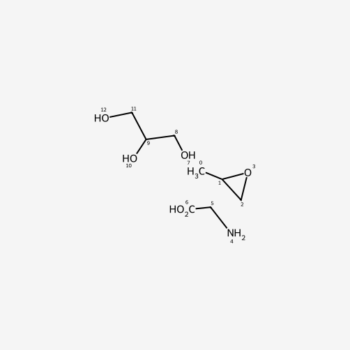 CC1CO1.NCC(=O)O.OCC(O)CO